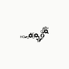 CCCCOc1ccc(C)cc1C(=O)N1CCN(Cc2cnc(C)n2Cc2ccc(C#N)c(Oc3cccc(OCCO)c3)c2)CC1